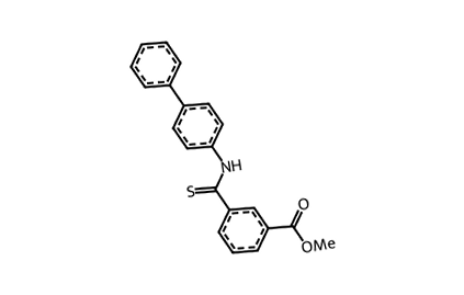 COC(=O)c1cccc(C(=S)Nc2ccc(-c3ccccc3)cc2)c1